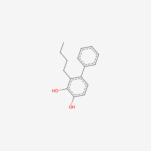 CCCCc1c(-c2ccccc2)ccc(O)c1O